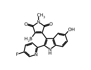 BC1=C(c2c(-c3ccc(F)cn3)[nH]c3ccc(O)cc23)C(=O)N(C)C1=O